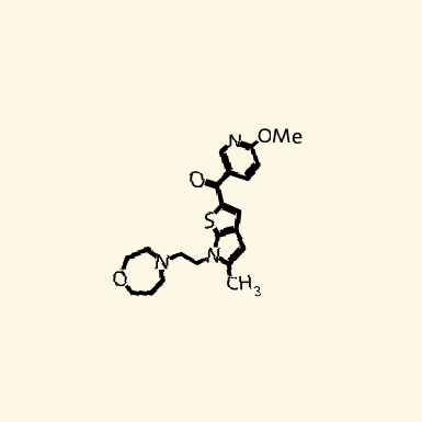 COc1ccc(C(=O)c2cc3cc(C)n(CCN4CCCOCC4)c3s2)cn1